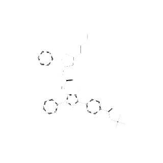 COCCC1C[C@@H](NC(=O)Nc2c(C)c(-c3ccc(C(=O)OC(C)(C)C)cc3)nn2-c2ccccc2)[C@H](c2ccccc2)C1